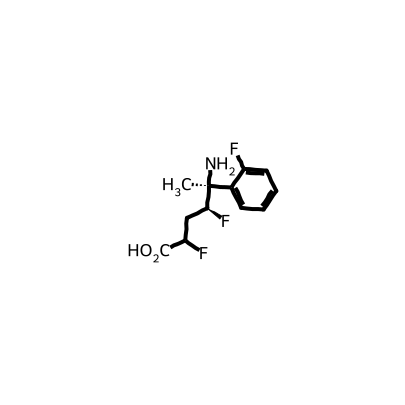 C[C@](N)(c1ccccc1F)[C@@H](F)CC(F)C(=O)O